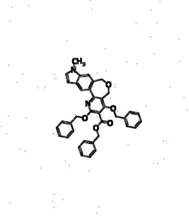 Cn1ccc2cc3c(cc21)COCc1c-3nc(OCc2ccccc2)c(C(=O)OCc2ccccc2)c1OCc1ccccc1